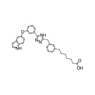 O=C(O)CCCCCCc1cccc(Cc2nnc(-c3cccc(Oc4ccc5[nH]ccc5c4)c3)[nH]2)c1